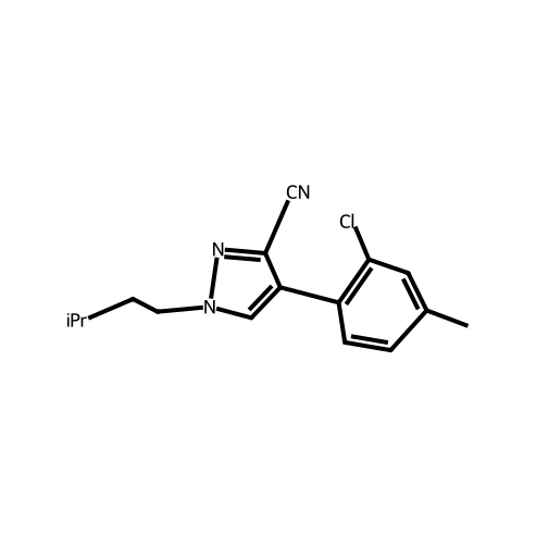 Cc1ccc(-c2cn(CCC(C)C)nc2C#N)c(Cl)c1